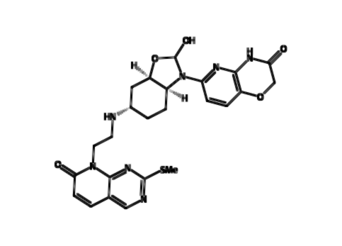 CSc1ncc2ccc(=O)n(CCN[C@H]3CC[C@H]4[C@@H](C3)OC(O)N4c3ccc4c(n3)NC(=O)CO4)c2n1